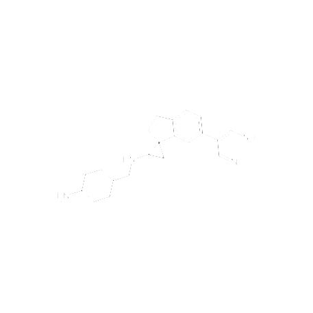 N=C/C(=C\N)c1ccc2c(c1)C1(CC2)CC1NCC1CCC(N)CC1